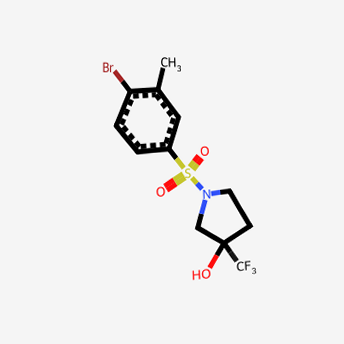 Cc1cc(S(=O)(=O)N2CCC(O)(C(F)(F)F)C2)ccc1Br